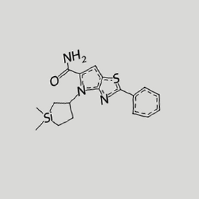 C[Si]1(C)CCC(n2c(C(N)=O)cc3sc(-c4ccccc4)nc32)C1